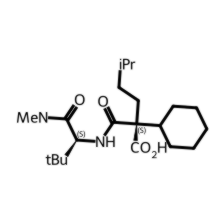 CNC(=O)[C@@H](NC(=O)[C@@](CCC(C)C)(C(=O)O)C1CCCCC1)C(C)(C)C